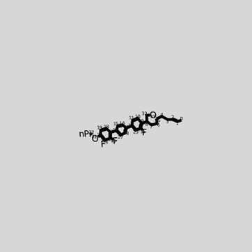 C/C=C/CCC1CCC(c2ccc(-c3ccc(-c4ccc(OCCC)c(F)c4F)cc3)cc2F)CO1